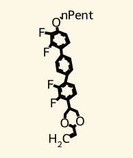 C=CC1OCC(c2ccc(-c3ccc(-c4ccc(OCCCCC)c(F)c4F)cc3)c(F)c2F)CO1